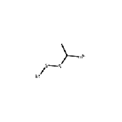 CCCC(C)SSCC